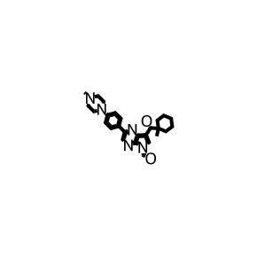 CN1CCN(c2ccc(-c3cnc4c(n3)c(C(=O)C3(C)CCCCC3)cn4C=O)cc2)CC1